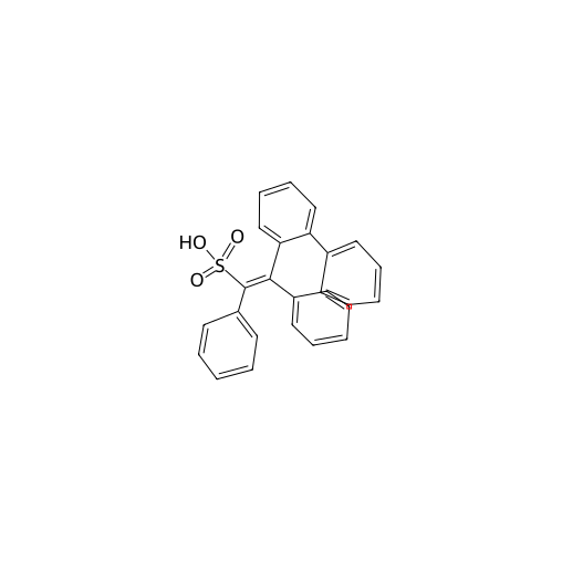 O=S(=O)(O)C(=C(c1ccccc1)c1ccccc1-c1ccccc1)c1ccccc1